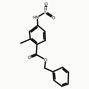 Cc1cc(N[SH](=O)=O)ccc1C(=O)OCc1ccccc1